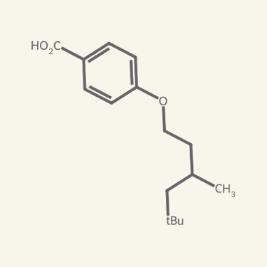 CC(CCOc1ccc(C(=O)O)cc1)CC(C)(C)C